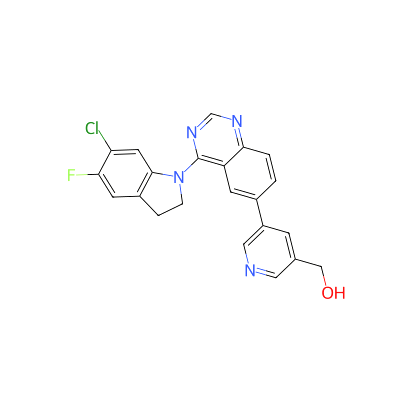 OCc1cncc(-c2ccc3ncnc(N4CCc5cc(F)c(Cl)cc54)c3c2)c1